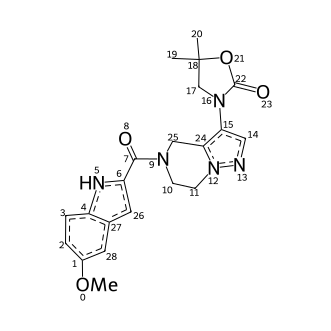 COc1ccc2[nH]c(C(=O)N3CCn4ncc(N5CC(C)(C)OC5=O)c4C3)cc2c1